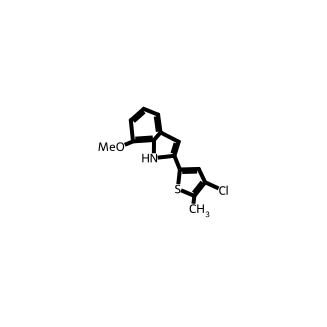 COc1cccc2cc(-c3cc(Cl)c(C)s3)[nH]c12